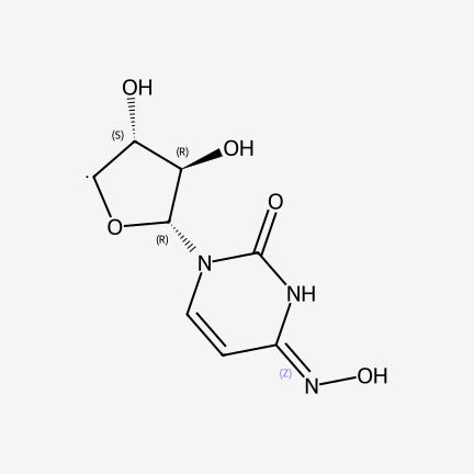 O=c1[nH]/c(=N\O)ccn1[C@@H]1O[CH][C@H](O)[C@H]1O